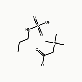 CCCNS(=O)(=O)O.C[N+](C)(C)CC(=O)[O-]